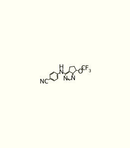 N#Cc1ccc(Nc2ncnc3c2CCC3OC(F)(F)F)cc1